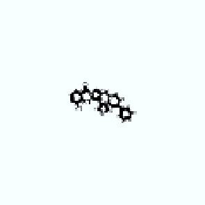 O=C(c1cccc(Cl)c1Cl)N1CC(CN2CCC(c3ccccc3)CC2)C(c2ccsc2)C1